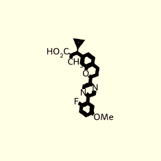 COc1ccc(F)c(-c2cnc(C3CCc4ccc([C@H](C5CC5)[C@H](C)C(=O)O)cc4O3)cn2)c1